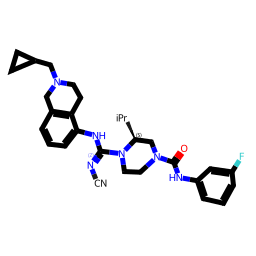 CC(C)[C@H]1CN(C(=O)Nc2cccc(F)c2)CCN1/C(=N\C#N)Nc1cccc2c1CCN(CC1CC1)C2